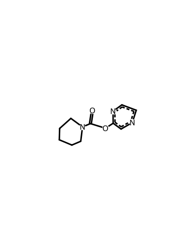 O=C(Oc1cnccn1)N1CCCCC1